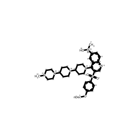 CCCCCCCCCCOc1ccc(S(=O)(=O)c2cnc3ccc([SiH](C)O)cc3c2N2CCC(N3CCC(N4CCN(C)CC4)CC3)CC2)cc1